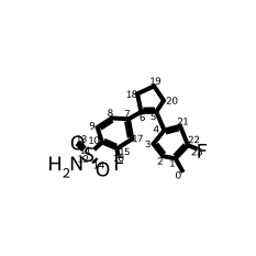 Cc1ccc(C2=C(c3ccc(S(N)(=O)=O)c(F)c3)CCC2)cc1F